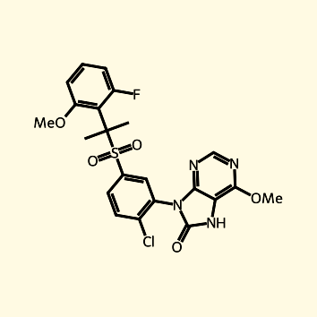 COc1cccc(F)c1C(C)(C)S(=O)(=O)c1ccc(Cl)c(-n2c(=O)[nH]c3c(OC)ncnc32)c1